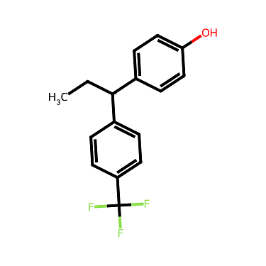 CC[C](c1ccc(O)cc1)c1ccc(C(F)(F)F)cc1